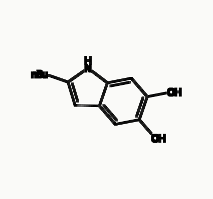 CCCCc1cc2cc(O)c(O)cc2[nH]1